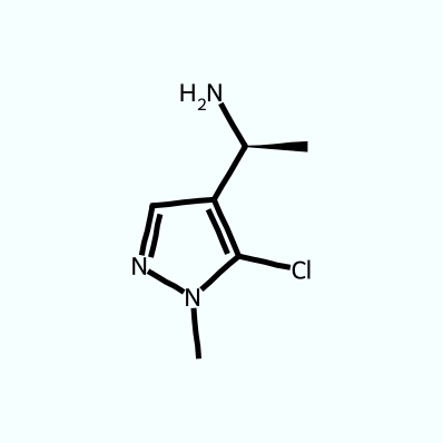 C[C@H](N)c1cnn(C)c1Cl